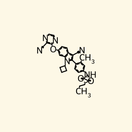 CCCS(=O)(=O)Nc1ccc(-c2c(C#N)c3ccc(Oc4nccnc4C#N)cc3n2C2CCC2)c(C)c1